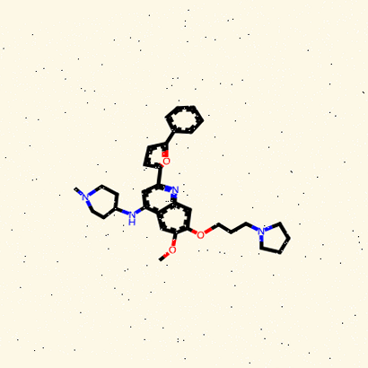 COc1cc2c(NC3CCN(C)CC3)cc(-c3ccc(-c4ccccc4)o3)nc2cc1OCCCN1CCCC1